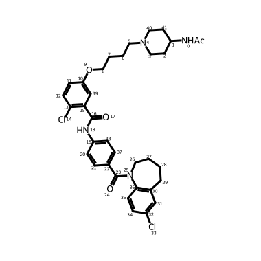 CC(=O)NC1CCN(CCCCOc2ccc(Cl)c(C(=O)Nc3ccc(C(=O)N4CCCCc5cc(Cl)ccc54)cc3)c2)CC1